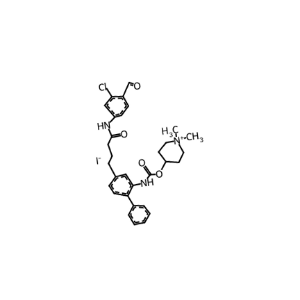 C[N+]1(C)CCC(OC(=O)Nc2cc(CCCC(=O)Nc3ccc(C=O)c(Cl)c3)ccc2-c2ccccc2)CC1.[I-]